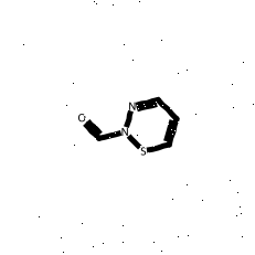 O=CN1N=CC=CS1